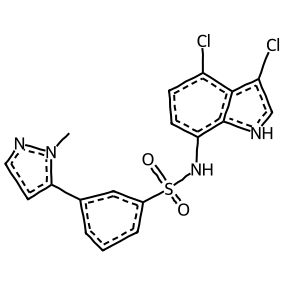 Cn1nccc1-c1cccc(S(=O)(=O)Nc2ccc(Cl)c3c(Cl)c[nH]c23)c1